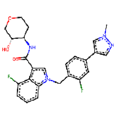 Cn1cc(-c2ccc(Cn3cc(C(=O)N[C@@H]4CCOC[C@H]4O)c4c(F)cccc43)c(F)c2)cn1